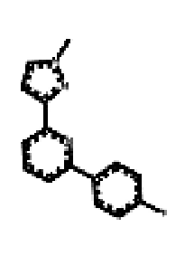 Cn1ccc(-c2cccc(-c3ccc(F)cc3)n2)n1